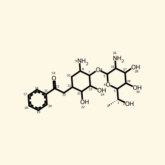 C[C@@H](O)C1OC(OC2C(N)CC(CC(=O)c3ccccc3)C(O)C2O)C(N)C(O)C1O